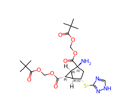 CC(C)(C)C(=O)OCOC(=O)[C@H]1[C@H]2[C@@H]1[C@](N)(C(=O)OCOC(=O)C(C)(C)C)C[C@@H]2Sc1nc[nH]n1